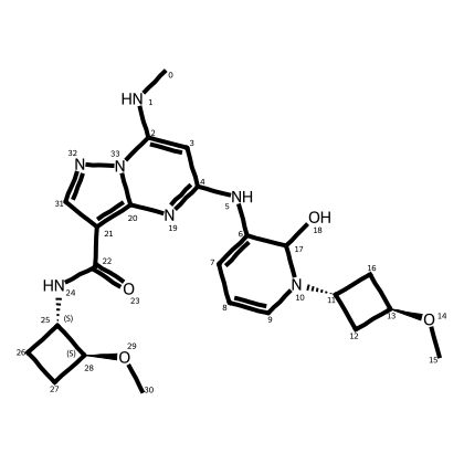 CNc1cc(NC2=CC=CN([C@H]3C[C@H](OC)C3)C2O)nc2c(C(=O)N[C@H]3CC[C@@H]3OC)cnn12